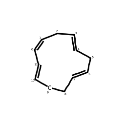 [C]1=C\C/C=C/C/C=C/CC/C=C/1